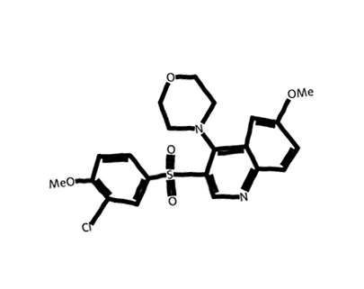 COc1ccc2ncc(S(=O)(=O)c3ccc(OC)c(Cl)c3)c(N3CCOCC3)c2c1